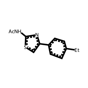 [CH2]Cc1ccc(-c2csc(NC(C)=O)n2)cc1